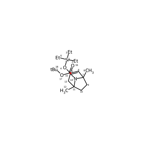 CC[Si](CC)(CC)OC1=CC2(C)CCC(C)(C1)N2C(=O)OC(C)(C)C